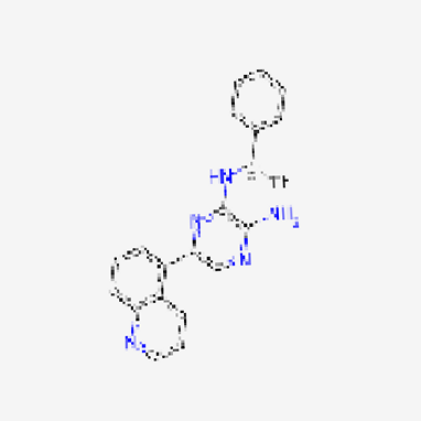 CC[C@H](Nc1nc(-c2cccc3ncccc23)cnc1N)c1ccccc1